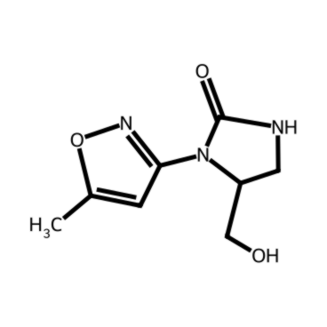 Cc1cc(N2C(=O)NCC2CO)no1